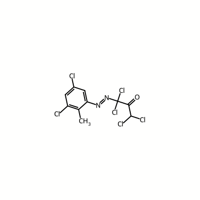 Cc1c(Cl)cc(Cl)cc1N=NC(Cl)(Cl)C(=O)C(Cl)Cl